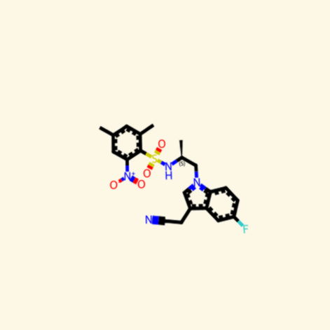 Cc1cc(C)c(S(=O)(=O)N[C@@H](C)Cn2cc(CC#N)c3cc(F)ccc32)c([N+](=O)[O-])c1